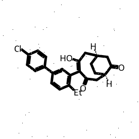 CCc1ccc(-c2ccc(Cl)cc2)cc1/C1=C(\O)C[C@@H]2CC[C@H](CC1=O)C(=O)C2